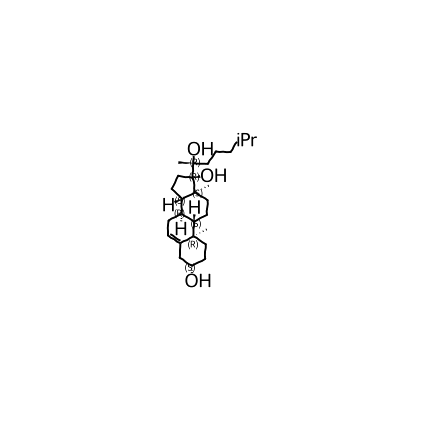 CC(C)CCC[C@@](C)(O)[C@@]1(O)CC[C@H]2[C@@H]3CC=C4C[C@@H](O)CC[C@]4(C)[C@H]3CC[C@@]21C